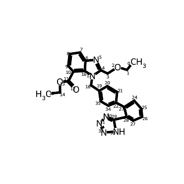 CCOCc1nc2cccc(C(=O)OCC)c2n1Cc1ccc(-c2ccccc2-c2nnn[nH]2)cc1